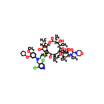 CC[C@@H]1OC(=O)[C@H](C)[C@H](O)[C@@H](C)[C@H](O[C@H]2O[C@H](C)C[C@H](N(C)C(=O)N3CCOCC3)[C@@H]2O)[C@](C)(OC)C[C@H](C)C(=O)C(C)[C@H]2C(SCCN(Cc3c(Cl)cncc3Cl)c3ccc(OC)c(OC4CCCC4)c3)C(=O)O[C@]21C